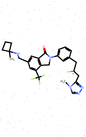 Cn1cnnc1C[C@@H](F)Cc1cccc(N2Cc3c(cc(CNC4(C)CCC4)cc3C(F)(F)F)C2=O)c1